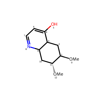 COC1CC2C(O)=CC=NC2C[C@H]1OC